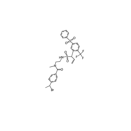 C=CC(c1cc(S(=O)(=O)c2ccccc2)ccc1C(F)(F)F)S(=O)(=O)NCCN(C)C(=O)c1ccc(C(C)Br)cc1